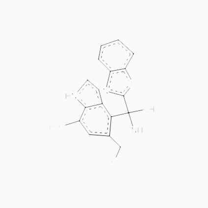 CCc1cc(C)c2[nH]ccc2c1C(C)(N)c1nc2ccccc2o1